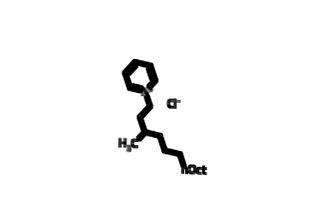 CCCCCCCCCCCC(C)CC[n+]1ccccc1.[Cl-]